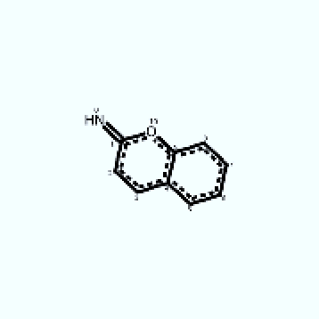 N=c1ccc2ccccc2o1